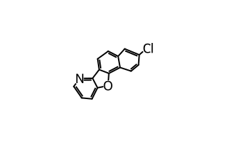 Clc1ccc2c(ccc3c4ncccc4oc23)c1